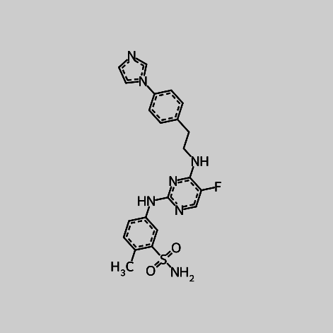 Cc1ccc(Nc2ncc(F)c(NCCc3ccc(-n4ccnc4)cc3)n2)cc1S(N)(=O)=O